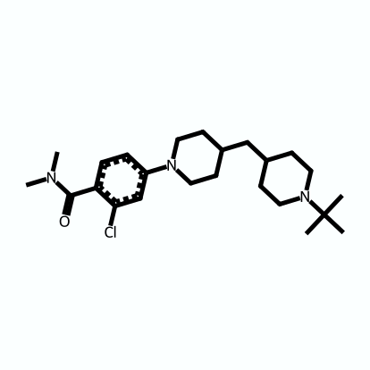 CN(C)C(=O)c1ccc(N2CCC(CC3CCN(C(C)(C)C)CC3)CC2)cc1Cl